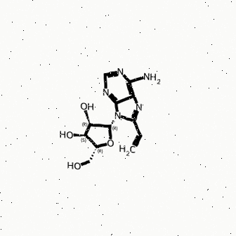 C=Cc1nc2c(N)ncnc2n1[C@@H]1O[C@H](CO)[C@@H](O)[C@H]1O